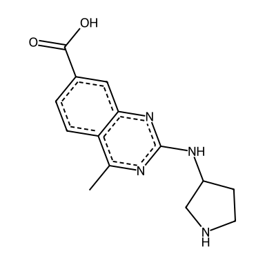 Cc1nc(NC2CCNC2)nc2cc(C(=O)O)ccc12